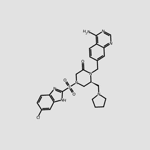 Nc1ncnc2cc(CN3C(=O)CN(S(=O)(=O)c4nc5ccc(Cl)cc5[nH]4)C[C@@H]3CN3CCCC3)ccc12